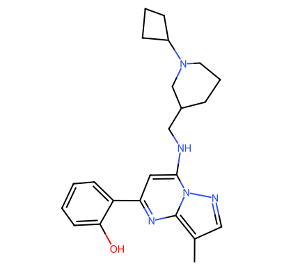 Cc1cnn2c(NCC3CCCN(C4CCC4)C3)cc(-c3ccccc3O)nc12